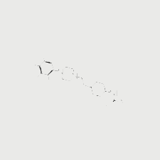 CC(=O)C(=O)NC1CCC(CCN2CCN(c3cc(F)c(F)c(C)c3F)CC2)CC1